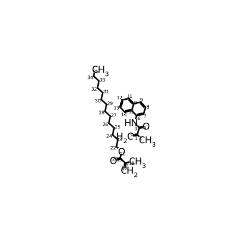 C=C(C)C(=O)Nc1cccc2ccccc12.C=C(C)C(=O)OCCCCCCCCCCCCCC